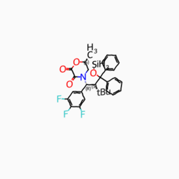 C[C@H]1CN([C@@H](c2cc(F)c(F)c(F)c2)[C@H](C(C)(C)C)C(O[SiH3])(c2ccccc2)c2ccccc2)C(=O)C(=O)O1